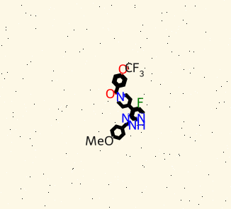 COC1CCC(c2nc3c(C4CCN(C(=O)c5ccc(OC(F)(F)F)cc5)CC4)c(F)cnc3[nH]2)CC1